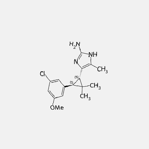 COc1cc(Cl)cc([C@H]2[C@H](c3nc(N)[nH]c3C)C2(C)C)c1